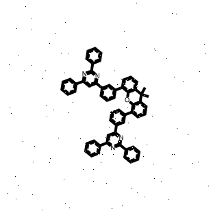 CC1(C)c2cccc(-c3cccc(-c4cc(-c5ccccc5)nc(-c5ccccc5)n4)c3)c2Oc2c(-c3cccc(-c4cc(-c5ccccc5)nc(-c5ccccc5)n4)c3)cccc21